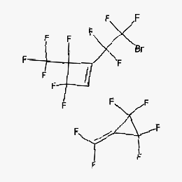 FC(F)(F)C1(F)C(C(F)(F)C(F)(F)Br)=CC1(F)F.FC(F)=C1C(F)(F)C1(F)F